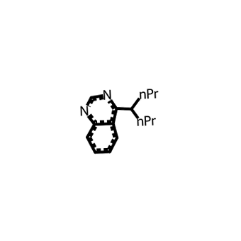 CCCC(CCC)c1ncnc2ccccc12